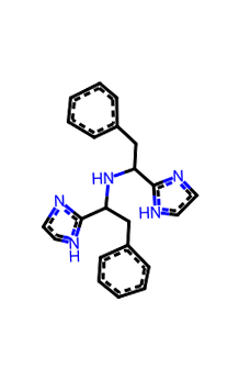 c1ccc(CC(NC(Cc2ccccc2)c2ncc[nH]2)c2ncc[nH]2)cc1